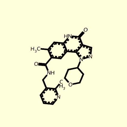 Cc1cc2[nH]c(=O)c3cnn(C4CCOCC4)c3c2cc1C(=O)NCc1cccnc1C